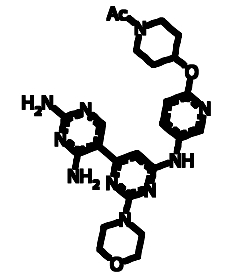 CC(=O)N1CCC(Oc2ccc(Nc3cc(-c4cnc(N)nc4N)nc(N4CCOCC4)n3)cn2)CC1